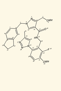 COCc1nn(Cc2ccc3c(c2)CCC3)cc1C(=O)NCc1c(-n2cc(C)nn2)ccc(OC)c1F